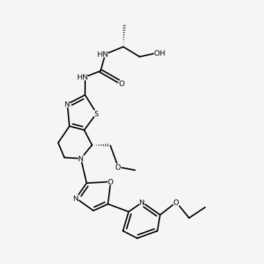 CCOc1cccc(-c2cnc(N3CCc4nc(NC(=O)N[C@H](C)CO)sc4[C@@H]3COC)o2)n1